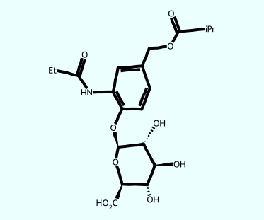 CCC(=O)Nc1cc(COC(=O)C(C)C)ccc1O[C@@H]1O[C@H](C(=O)O)[C@@H](O)[C@H](O)[C@H]1O